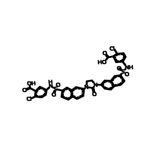 O=C(O)c1cc(NS(=O)(=O)c2ccc3ccc(N4CCN(c5ccc6ccc(S(=O)(=O)Nc7ccc(Cl)c(C(=O)O)c7)cc6c5)C4=O)cc3c2)ccc1Cl